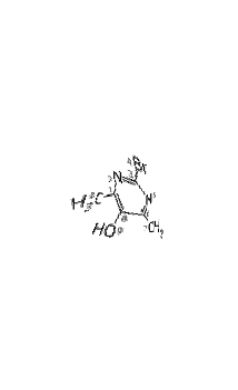 Cc1nc(Br)nc(C)c1O